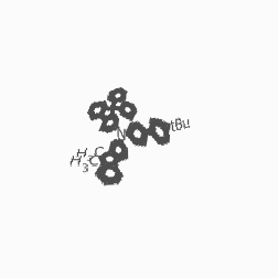 CC(C)(C)c1ccc(-c2ccc(N(c3ccc4c(c3)C(C)(C)c3ccccc3-4)c3ccc4c(c3)C(c3ccccc3)(c3ccccc3)c3ccccc3-4)cc2)cc1